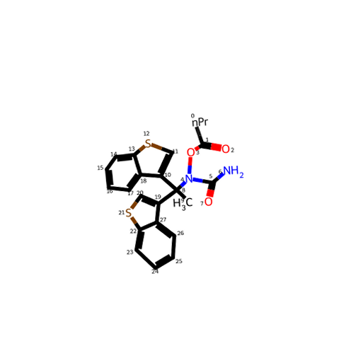 CCCC(=O)ON(C(N)=O)C(C)(c1csc2ccccc12)c1csc2ccccc12